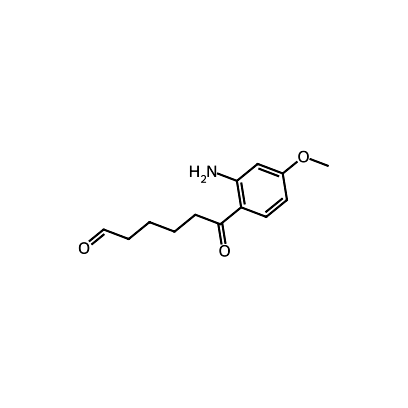 COc1ccc(C(=O)CCCCC=O)c(N)c1